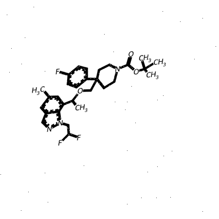 Cc1cc(C(C)OCC2(c3ccc(F)cc3)CCN(C(=O)OC(C)(C)C)CC2)c2c(cnn2CC(F)F)c1